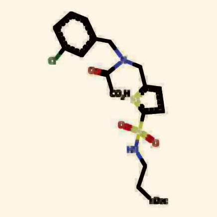 CCCCCCCCCCCCNS(=O)(=O)c1ccc(CN(Cc2cccc(Cl)c2)C(=O)C(=O)O)s1